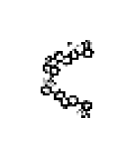 Cn1cnc2cccc(-c3ccc4c(ccc5c(-c6ccc(-c7nc8cccc(-c9ccc%10c(ccc%11cc(-c%12cccc%13ncoc%12%13)ccc%11%10)c9)c8o7)c7ncn(C)c67)cccc54)c3)c21